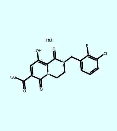 CC(C)(C)C(=O)c1cc(O)c2n(c1=O)CCN(Cc1cccc(Cl)c1F)C2=O.Cl